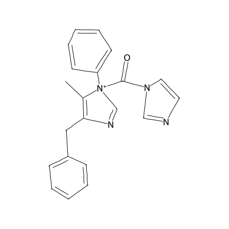 CC1=C(Cc2ccccc2)N=C[N+]1(C(=O)n1ccnc1)c1ccccc1